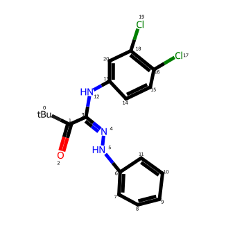 CC(C)(C)C(=O)/C(=N\Nc1ccccc1)Nc1ccc(Cl)c(Cl)c1